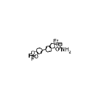 CCC1(CC)Cc2cc(-c3ccc4c(c3)OC(F)(F)O4)ccc2C1OC(N)=O